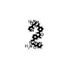 CC(C(=O)C(C)c1cccc(-c2cnc(N)c(C(=O)c3cccnc3)n2)c1)c1cccc(-c2cnc(N)c(C(=O)c3cccnc3)n2)c1